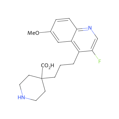 COc1ccc2ncc(F)c(CCCC3(C(=O)O)CCNCC3)c2c1